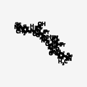 Cc1ncsc1-c1ccc(CNC(=O)[C@@H]2C[C@@H](OCc3ncc([C@H](C(=O)N4C[C@H](O)C[C@H]4C(=O)NCc4ccc(-c5scnc5C)cc4)C(C)C)[nH]3)CN2C(=O)[C@@H](c2cnccn2)C(C)C)cc1